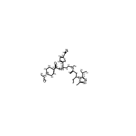 C=C(CC(CC)n1c(C)nnc1C(C)C)N(C)CCC(NC(=O)C1CCN([S+](C)[O-])CC1)c1ccc(C#N)s1